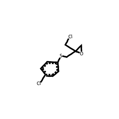 ClCC1(CSc2ccc(Cl)cc2)CO1